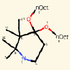 CCCCCCCCOC1(OCCCCCCCC)CC[N]C(C)(C)C1(C)C